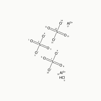 Cl.O=S(=O)([O-])[O-].O=S(=O)([O-])[O-].O=S(=O)([O-])[O-].[Al+3].[Al+3]